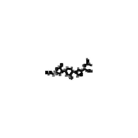 C[SiH](C)OC(c1cn(-c2ccc(N3C[C@H](CN)OC3=O)cc2F)cn1)C(C)(C)C